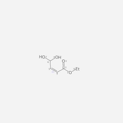 CCOC(=O)/C=C\C(O)O